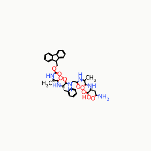 C[C@H](NC(=O)CNC(=O)[C@H](Cc1ccccc1)NC(=O)[C@H](C)NC(=O)OCC1c2ccccc2-c2ccccc21)C(=O)N[C@@H](CC(N)=O)C(=O)O